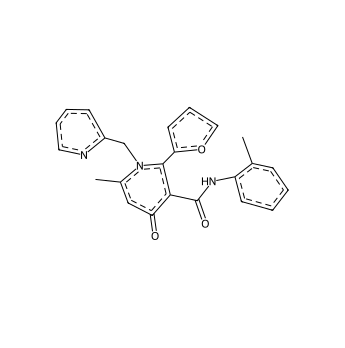 Cc1ccccc1NC(=O)c1c(-c2ccco2)n(Cc2ccccn2)c(C)cc1=O